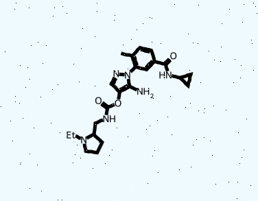 CCN1CCCC1CNC(=O)Oc1cnn(-c2cc(C(=O)NC3CC3)ccc2C)c1N